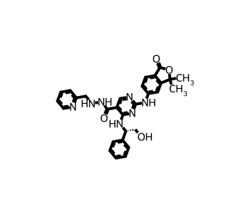 CC1(C)OC(=O)c2ccc(Nc3ncc(C(=O)NNCc4ccccn4)c(N[C@H](CO)c4ccccc4)n3)cc21